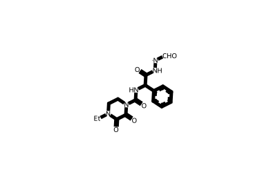 CCN1CCN(C(=O)NC(C(=O)N[N]C=O)c2ccccc2)C(=O)C1=O